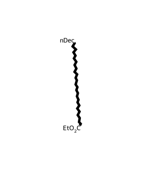 CCCCCCCCCCCCCCCCCCCCCCCCCCCCCCCCCCCCCC(=O)OCC